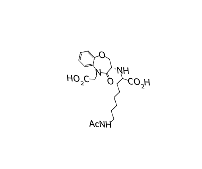 CC(=O)NCCCCCCC(N[C@H]1COc2ccccc2N(CC(=O)O)C1=O)C(=O)O